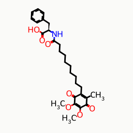 COC1=C(OC)C(=O)C(CCCCCCCCCC(=O)N[C@H](Cc2ccccc2)C(=O)O)=C(C)C1=O